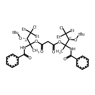 CCC(Cl)(CC)[C@@H](OC(C)(C)C)C(C)(NC(=O)c1ccccc1)OC(=O)CC(=O)OC(C)(NC(=O)c1ccccc1)[C@H](OC(C)(C)C)C(Cl)(CC)CC